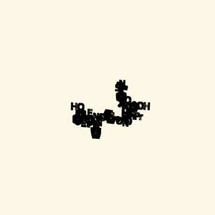 CCc1cccc2cc(O)cc(-c3ncc4c(N5CC6CCC(C5)N6)nc(OC[C@@]56CCCN5[C@@H](COc5cc([C@H](C(=O)N7C[C@H](O)C[C@H]7C(=O)N[C@@H](C)c7ccc(-c8scnc8C)cc7)C(C)C)on5)CC6)nc4c3F)c12